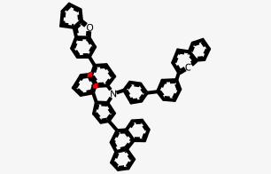 c1ccc(-c2ccc(-c3cc4ccccc4c4ccccc34)cc2N(c2ccc(-c3cccc(-c4ccc5ccccc5c4)c3)cc2)c2ccc(-c3ccc4c(c3)oc3ccccc34)cc2)cc1